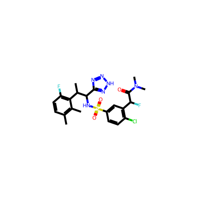 Cc1ccc(F)c(C(C)C(NS(=O)(=O)c2ccc(Cl)c(C(F)C(=O)N(C)C)c2)c2nn[nH]n2)c1C